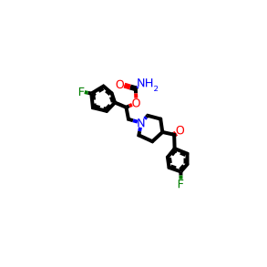 NC(=O)OC(CN1CCC(C(=O)c2ccc(F)cc2)CC1)c1ccc(F)cc1